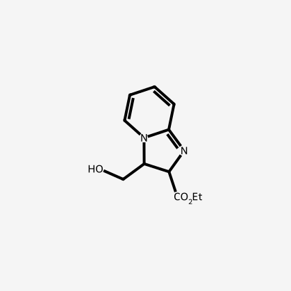 CCOC(=O)C1N=C2C=CC=CN2C1CO